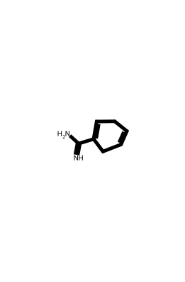 N=C(N)C1=CCC=CC1